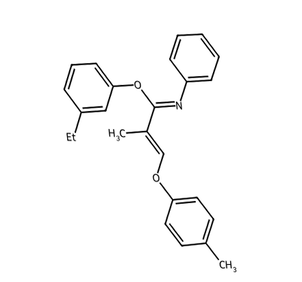 CCc1cccc(OC(=N\c2ccccc2)/C(C)=C/Oc2ccc(C)cc2)c1